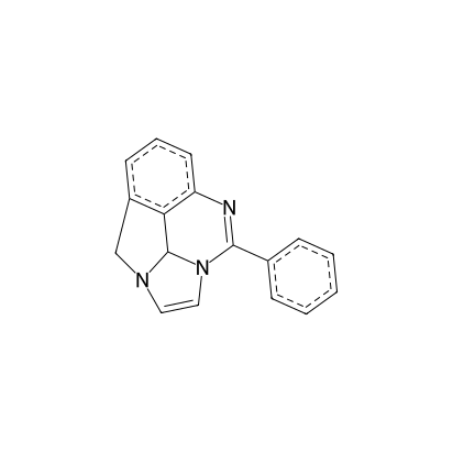 C1=CN2C(c3ccccc3)=Nc3cccc4c3C2N1C4